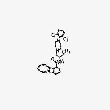 CCC(CN1CCN(c2c(Cl)cccc2Cl)CC1)NC(=O)c1cccc2c1-c1ccccc1-2